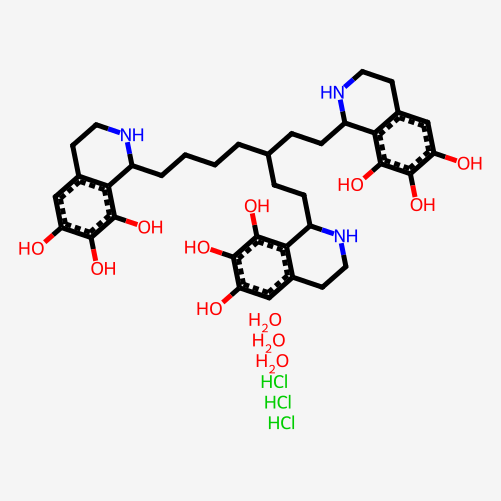 Cl.Cl.Cl.O.O.O.Oc1cc2c(c(O)c1O)C(CCCCC(CCC1NCCc3cc(O)c(O)c(O)c31)CCC1NCCc3cc(O)c(O)c(O)c31)NCC2